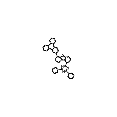 c1ccc(-c2nc(-c3ccccc3)nc(-c3cccc4sc5c(-c6ccc7c8ccccc8c8ccccc8c7c6)cccc5c34)n2)cc1